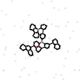 c1ccc(-c2ccc(-c3cccc4ccccc34)cc2N(c2ccc(-c3ccccc3-n3c4ccccc4c4ccccc43)cc2)c2ccc(-c3cc4ccccc4c4ccccc34)cc2)cc1